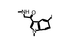 CNCC(=O)c1cn(C)c2ccc(I)cc12